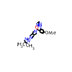 COc1ccc(C(=O)N2CC3CN(c4ncc(C)c(C)n4)CC3C2)c(-n2nccn2)c1